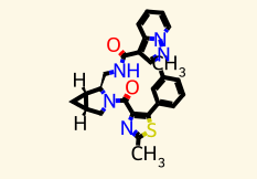 Cc1cccc(-c2sc(C)nc2C(=O)N2C[C@@H]3C[C@@H]3[C@H]2CNC(=O)c2cnn3ccccc23)c1